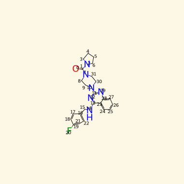 O=C(N1CCCC1)N1CCN(c2nc(NCc3ccc(F)cc3)c3ccccc3n2)CC1